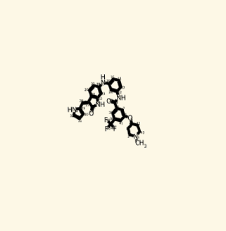 CN1CCC(Oc2cc(C(=O)Nc3cccc(Nc4ccc5c(c4)NC(=O)C5=Cc4ccc[nH]4)c3)cc(C(F)(F)F)c2)CC1